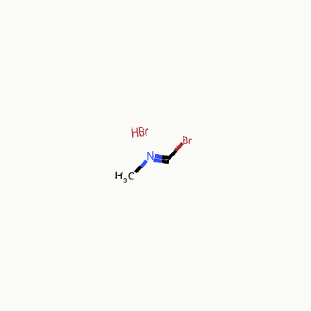 Br.CN=CBr